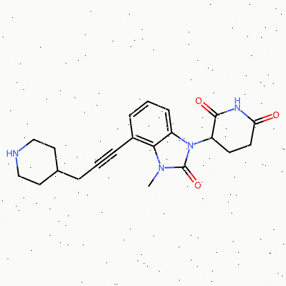 Cn1c(=O)n(C2CCC(=O)NC2=O)c2cccc(C#CCC3CCNCC3)c21